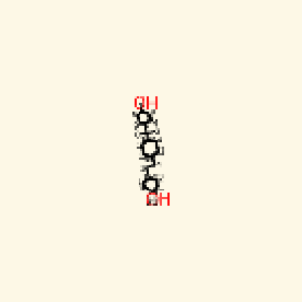 CC(C)(c1ccc(O)cc1)c1ccc(CCc2ccc(O)cc2)cc1